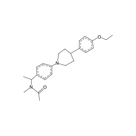 CCOc1ccc(C2CCN(c3ccc(C(C)N(C)C(C)=O)cc3)CC2)cc1